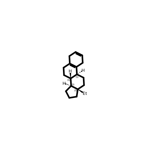 CC[C@@]12CCC[C@H]1[C@@H]1CCC3=C(CC=CC3)[C@H]1CC2